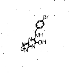 Oc1nc2nonc2nc1NCc1ccc(Br)cc1